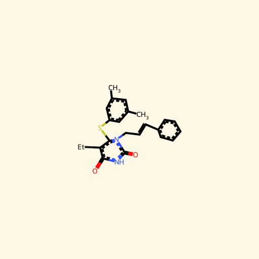 CCc1c(Sc2cc(C)cc(C)c2)n(CC=Cc2ccccc2)c(=O)[nH]c1=O